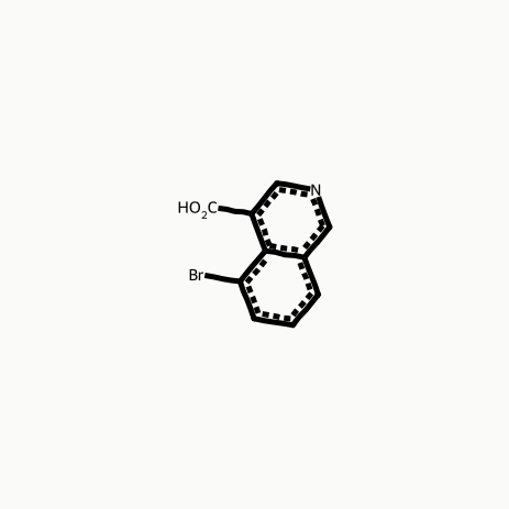 O=C(O)c1cncc2cccc(Br)c12